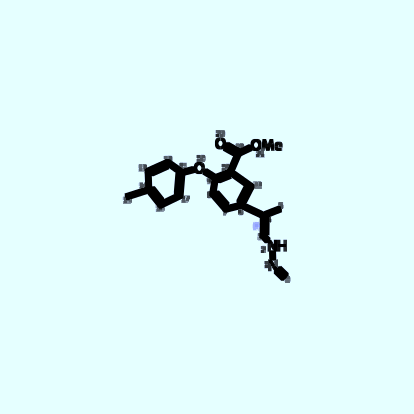 C=NN/C=C(\C)c1ccc(Oc2ccc(C)cc2)c(C(=O)OC)c1